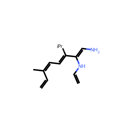 C=CNC(=C\N)/C(=C/C=C(/C)C=C)C(C)C